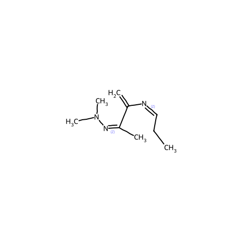 C=C(/N=C\CC)/C(C)=N\N(C)C